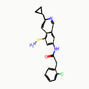 NSc1cc(NC(=O)Cc2ccccc2Cl)cc2cnc(C3CC3)cc12